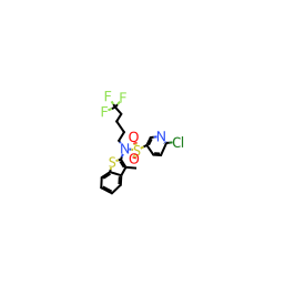 Cc1c(N(CCCCC(F)(F)F)S(=O)(=O)c2ccc(Cl)nc2)sc2ccccc12